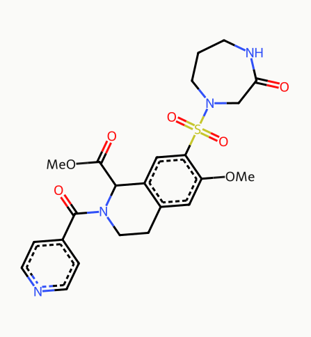 COC(=O)C1c2cc(S(=O)(=O)N3CCCNC(=O)C3)c(OC)cc2CCN1C(=O)c1ccncc1